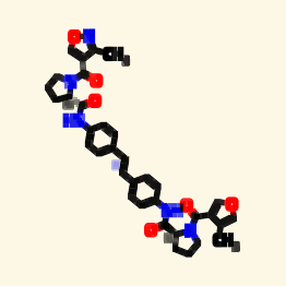 Cc1cocc1C(=O)N1CCC[C@H]1C(=O)Nc1ccc(/C=C/c2ccc(NC(=O)[C@@H]3CCCN3C(=O)c3conc3C)cc2)cc1